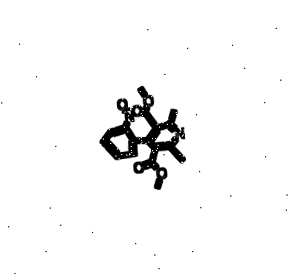 COC(=O)c1c(C)nc(C)c(C(=O)OC)c1-c1ccccc1N=O